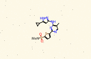 CNS(=O)(=O)c1ccc(-c2ncc(C)c(Nc3cc(C4CC4)[nH]n3)n2)s1